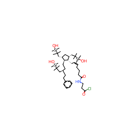 CC(C)(C[C@H](CCc1ccccc1)CC[C@H]1[C@H](CC(C)(C)[Si](C)(C)O)C[C@H](CC(C)(C)[Si](C)(C)O)[C@@H]1C/C=C\CCCC(=O)NCCC(=O)Cl)[Si](C)(C)O